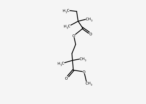 CCC(C)(C)C(=O)OCCC(C)(C)C(=O)OC